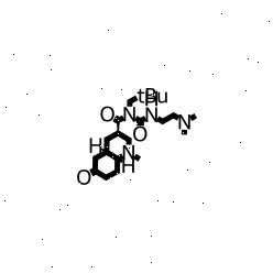 CN(C)CCNC(=O)N(CC(C)(C)C)C(=O)[C@@H]1C[C@@H]2CC(=O)CC[C@H]2N(C)C1